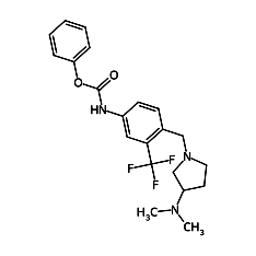 CN(C)C1CCN(Cc2ccc(NC(=O)Oc3ccccc3)cc2C(F)(F)F)C1